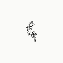 N#CCn1ncc(N2CC[C@@H](OC(=O)NC3CCC(F)(F)CC3)C2)c(Cl)c1=O